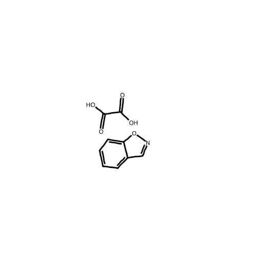 O=C(O)C(=O)O.c1ccc2oncc2c1